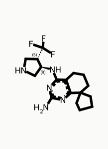 Nc1nc(N[C@H]2CNC[C@@H]2C(F)(F)F)c2c(n1)C1(CCCC1)CCC2